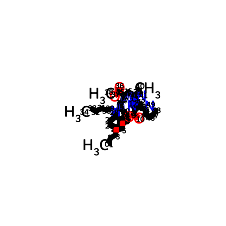 CCCCCCCCOC(=O)c1nn2\c(=C/C(=C/C=C3\C=Cc4ccccc4N3CCCCCC)C(=O)OC)c(C)nc2c1-c1ccccn1